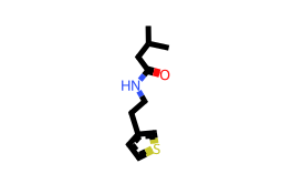 CC(C)CC(=O)NCCc1ccsc1